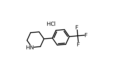 Cl.FC(F)(F)c1ccc(C2CCCNC2)cc1